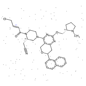 CN1CCC[C@H]1COc1nc2c(c(N3CCN(C(=O)/C=C/CCl)[C@@H](CC#N)C3)n1)COC(c1cccc3ccccc13)C2